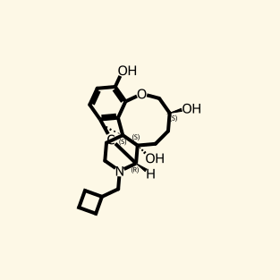 C[C@]12CCN(CC3CCC3)[C@@H]3Cc4ccc(O)c(c41)OC[C@@H](O)CC[C@@]32O